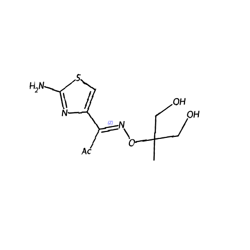 CC(=O)/C(=N\OC(C)(CO)CO)c1csc(N)n1